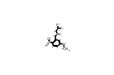 COc1ccc([N+](=O)[O-])c(CNCC(F)F)c1